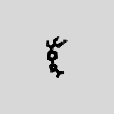 CO[C@H](c1ccc(-n2cc(C(C)=O)nn2)cc1)C(CF)N=[N+]=[N-]